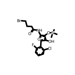 C[Si](C)(C)Oc1c(NC(=O)CCCBr)oc(-c2c(F)cccc2Cl)c1O